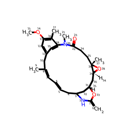 C=C1NC2C/C=C/C=C(/C)Cc3cc(OC)c(C)c(c3)N(C)C(=O)CC[C@]3(C)O[C@H]3C[C@H](C2)O1